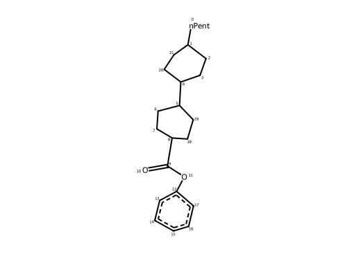 CCCCCC1CCC(C2CCC(C(=O)Oc3ccccc3)CC2)CC1